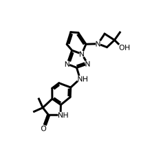 CC1(O)CN(c2cccc3nc(Nc4ccc5c(c4)NC(=O)C5(C)C)nn23)C1